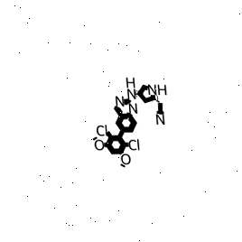 COc1cc(OC)c(Cl)c(-c2ccc3nc(N[C@@H]4CN[C@H](CC#N)C4)ncc3c2)c1Cl